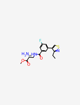 CCc1nscc1-c1cc(F)cc(C(=O)NC[C@@H](N)C(=O)OC)c1